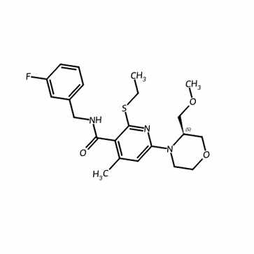 CCSc1nc(N2CCOC[C@@H]2COC)cc(C)c1C(=O)NCc1cccc(F)c1